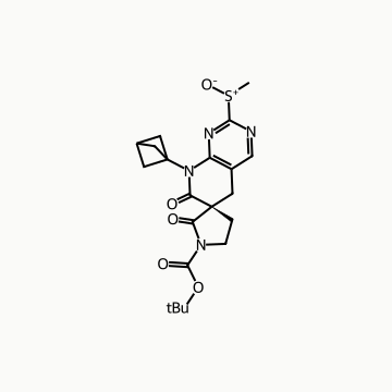 C[S+]([O-])c1ncc2c(n1)N(C13CC(C1)C3)C(=O)[C@]1(CCN(C(=O)OC(C)(C)C)C1=O)C2